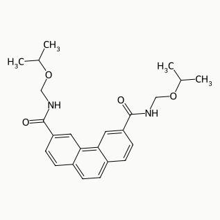 CC(C)OCNC(=O)c1ccc2ccc3ccc(C(=O)NCOC(C)C)cc3c2c1